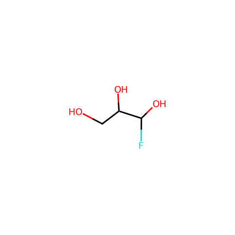 OCC(O)C(O)F